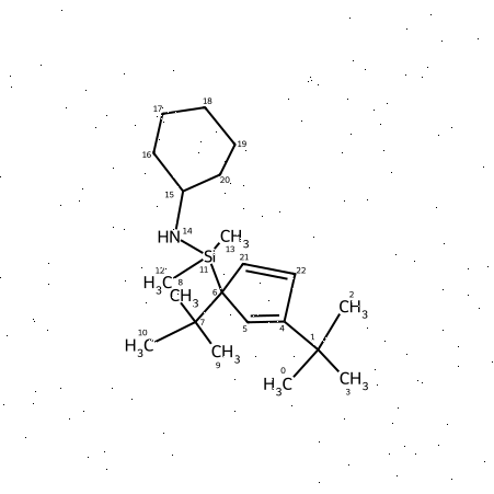 CC(C)(C)C1=CC(C(C)(C)C)([Si](C)(C)NC2CCCCC2)C=C1